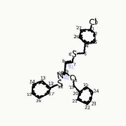 Clc1ccc(CS/C=C/C(=N/Sc2ccccc2)OCc2ccccc2)cc1